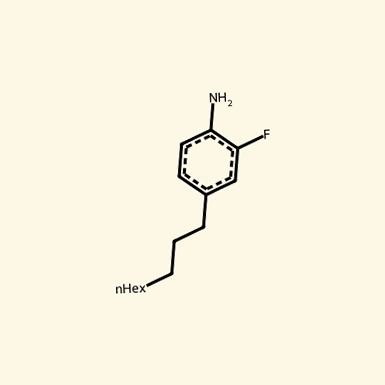 CCCCCCCCCc1ccc(N)c(F)c1